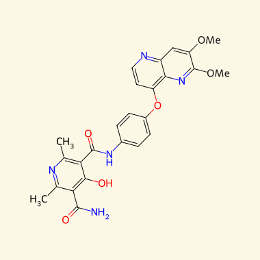 COc1cc2nccc(Oc3ccc(NC(=O)c4c(C)nc(C)c(C(N)=O)c4O)cc3)c2nc1OC